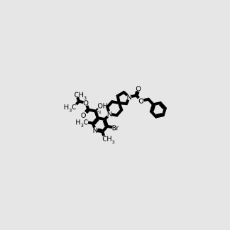 Cc1nc(C)c([C@H](O)C(=O)OC(C)C)c(N2CCC3(CCN(C(=O)OCc4ccccc4)C3)CC2)c1Br